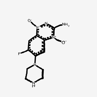 Nc1n[n+]([O-])c2cc(F)c(N3CCNCC3)cc2[n+]1[O-]